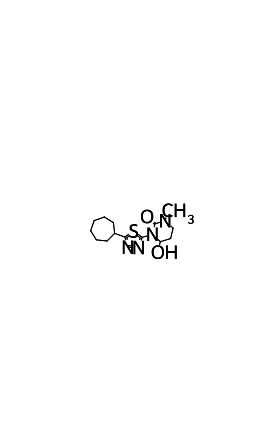 CN1CCC(O)N(c2nnc(C3CCCCCC3)s2)C1=O